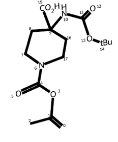 C=C(C)OC(=O)N1CCC(NC(=O)OC(C)(C)C)(C(=O)O)CC1